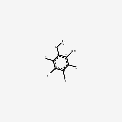 Cc1c(F)c(F)c(C)c(CBr)c1F